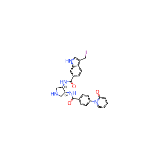 O=C(N[C@H]1CNC[C@H]1NC(=O)c1ccc2c(CI)c[nH]c2c1)c1ccc(-n2ccccc2=O)cc1